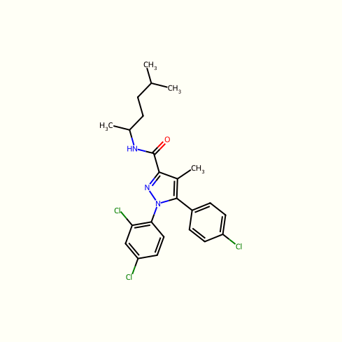 Cc1c(C(=O)NC(C)CCC(C)C)nn(-c2ccc(Cl)cc2Cl)c1-c1ccc(Cl)cc1